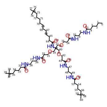 CCCCCC(=O)NCCCNC(=O)CCOCC(COCCC(=O)NCCCNC(=O)CCCCC(C)(C)C)(COCCC(=O)NCCCNC(=O)CCCCC(C)(C)C)NC(=O)CCCCCCCCCCC(C)(C)C